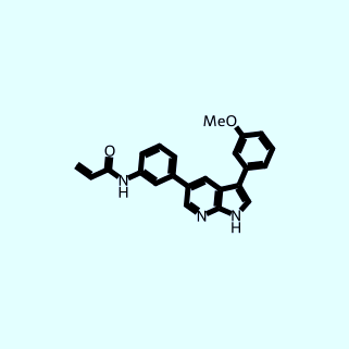 C=CC(=O)Nc1cccc(-c2cnc3[nH]cc(-c4cccc(OC)c4)c3c2)c1